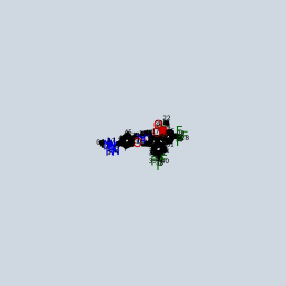 CCn1nnc(-c2ccc(C[N+]3([O-])CCC(C(OS(=O)(=O)CC)(c4ccc(C(F)(F)F)cc4)c4ccc(C(F)(F)F)cc4)CC3)cc2)n1